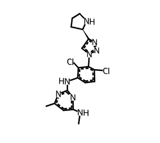 CNc1cc(C)nc(Nc2ccc(Cl)c(-n3cc([C@H]4CCCN4)nn3)c2Cl)n1